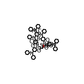 Cc1ccccc1N1c2cc3c(cc2B2c4cc5c(cc4N(c4ccccc4C)c4cc(N(c6ccccc6)c6ccccc6)cc1c42)Oc1cc(N(c2ccccc2)c2ccccc2)cc2c1B5c1sc(C(C)(C)C)cc1O2)B1c2sc(C(C)(C)C)cc2Oc2cc(N(c4ccccc4)c4ccccc4)cc(c21)O3